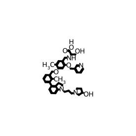 Cc1cc(CNC(CO)C(=O)O)c(OCc2cccnc2)cc1OCc1cccc(-c2cccc3c2CCN3CCCN2CCC(O)C2)c1C